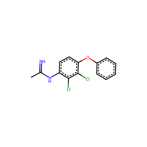 CC(=N)Nc1ccc(Oc2ccccc2)c(Cl)c1Cl